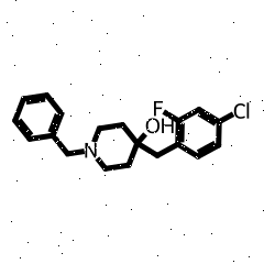 OC1(Cc2ccc(Cl)cc2F)CCN(Cc2ccccc2)CC1